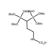 CO[Si](OC)(OC)C(CCNC(=O)O)[Si](OC)(OC)OC